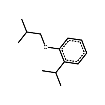 CC(C)COc1ccccc1C(C)C